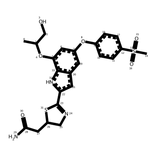 CC(CO)Oc1cc(Oc2ccc(S(C)(=O)=O)cc2)cc2cc(C3=NCC(CC(N)=O)S3)[nH]c12